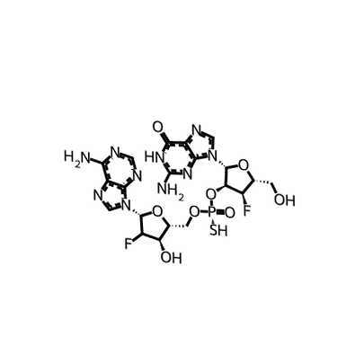 Nc1nc2c(ncn2[C@@H]2O[C@H](CO)[C@@H](F)[C@H]2O[P@](=O)(S)OC[C@H]2O[C@@H](n3cnc4c(N)ncnc43)C(F)[C@@H]2O)c(=O)[nH]1